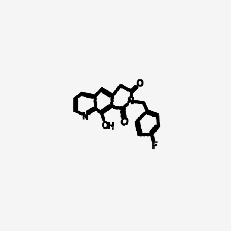 O=C1Cc2cc3cccnc3c(O)c2C(=O)N1Cc1ccc(F)cc1